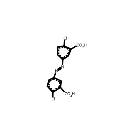 O=C(O)c1cc(N=Nc2ccc(Cl)c(C(=O)O)c2)ccc1Cl